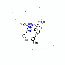 CCCCc1cccc(C=Cc2nccn3c(N)c(SC)cc23)c1.CCCCc1cccc(C=Cc2nccn3c(N)c(SC)cc23)c1.O=C(O)CC(=O)O